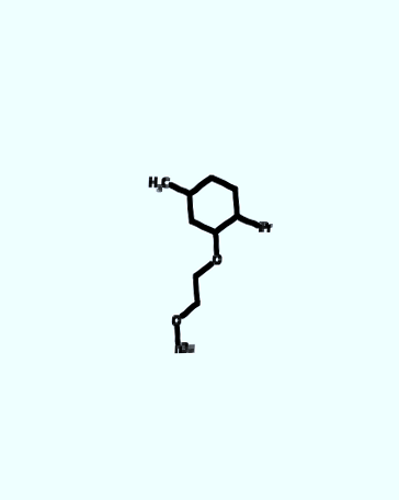 CCCCOCCOC1CC(C)CCC1C(C)C